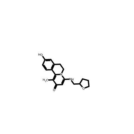 Cc1c2n(c(NCC3CCCO3)cc1=O)CCc1cc(O)ccc1-2